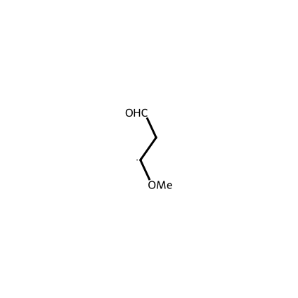 CO[CH]CC=O